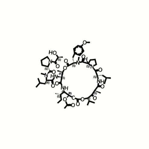 CC[C@H](C)[C@@H]1NC(=O)[C@@H](NC(=O)[C@@H](CC(C)C)N(C)C(=O)[C@@H]2CCCN2C(=O)[C@H](C)O)[C@@H](C)OC(=O)[C@H](Cc2ccc(OC)cc2)N(C)C(=O)[C@@H]2CCCN2C(=O)[C@H](CC(C)C)NC(=O)[C@@H](C)C(=O)[C@H](C(C)C)OC(=O)C[C@H]1OC(C)=O